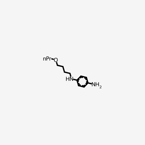 CCCOCCCCNc1ccc(N)cc1